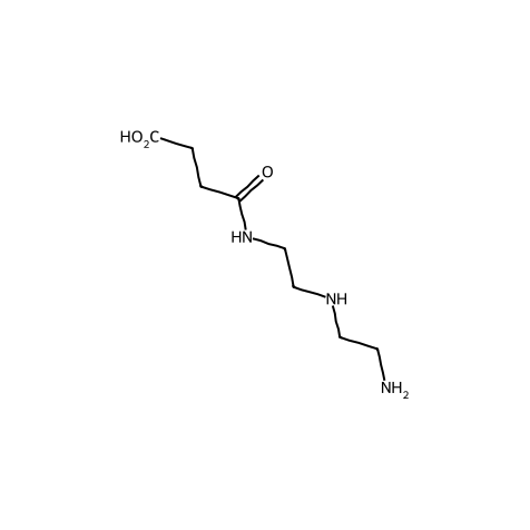 NCCNCCNC(=O)CCC(=O)O